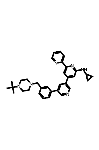 CC(C)(C)N1CCN(Cc2cccc(-c3cncc(-c4cc(NC5CC5)nc(-c5ccccn5)c4)c3)c2)CC1